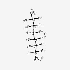 O=C(O)C(F)(F)C(F)(F)C(F)(F)C(F)(F)C(F)(F)C(F)(F)C(F)(F)F.[Y]